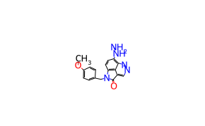 COc1ccc(CN2C(=O)c3cnnc4c(NN)ccc2c34)cc1